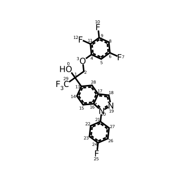 OC(COc1cc(F)cc(F)c1F)(c1ccc2c(cnn2-c2ccc(F)cc2)c1)C(F)(F)F